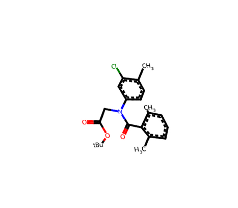 Cc1ccc(N(CC(=O)OC(C)(C)C)C(=O)c2c(C)cccc2C)cc1Cl